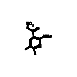 CNc1nc(C)c(C)cc1C(=O)C[N+](=O)[O-]